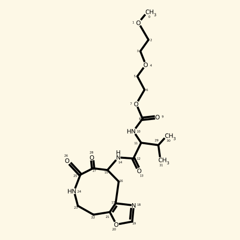 COCCOCCOC(=O)NC(C(=O)NC1Cc2ncoc2CCNC(=O)C1=O)C(C)C